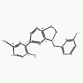 Fc1cccc(CN2CCc3ccc(-c4cc(F)ncc4Cl)cc32)c1